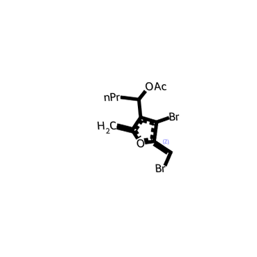 C=c1o/c(=C\Br)c(Br)c1C(CCC)OC(C)=O